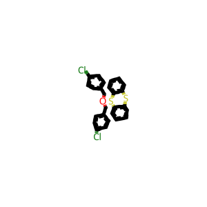 Clc1ccc(COCc2ccc(Cl)cc2)cc1.c1ccc2c(c1)Sc1ccccc1S2